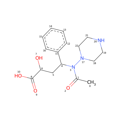 CC(=O)N(C(CC(O)C(=O)O)c1ccccc1)N1CCNCC1